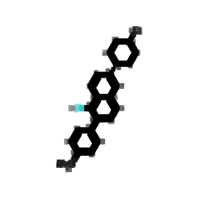 CC[C@H]1CC[C@H](c2ccc3c(F)c(-c4ccc(OC)cc4)ccc3c2)CC1